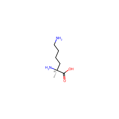 C[C@](N)(CCCCN)C(=O)O